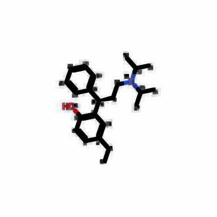 CCc1ccc(O)c([C@H](CCN(C(C)C)C(C)C)c2ccccc2)c1